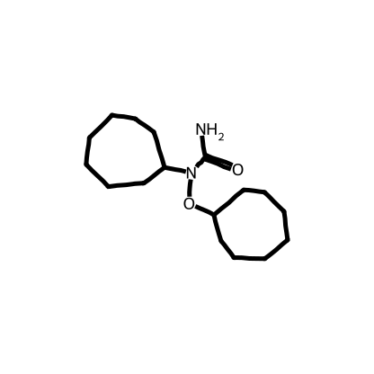 NC(=O)N(OC1CCCCCCC1)C1CCCCCCC1